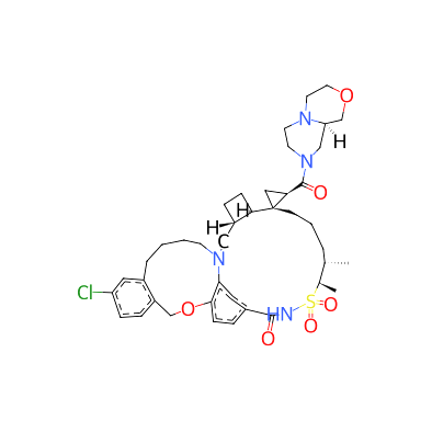 C[C@@H]1[C@@H](C)CCC[C@]2(C[C@H]2C(=O)N2CCN3CCOC[C@H]3C2)[C@@H]2CC[C@H]2CN2CCCCc3cc(Cl)ccc3COc3ccc(cc32)C(=O)NS1(=O)=O